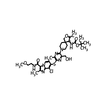 COCCNC(=O)c1c(C)nc2c(Cl)c(Sc3nc(CO)c(N4CCC5(CC4)CO[C@@H](C)[C@H]5NC(=O)OC(C)(C)C)nc3C)ccn12